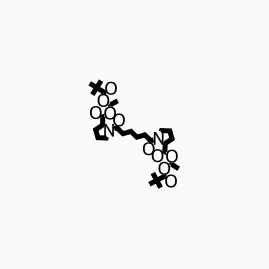 CC(OC(=O)C1CCCN1C(=O)CCCCC(=O)N1CCCC1C(=O)OC(C)OC(=O)C(C)(C)C)OC(=O)C(C)(C)C